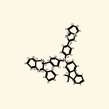 CC1(C)c2ccccc2-c2ccc(N(c3ccc(-c4cn5ccccc5n4)cc3)c3ccc(-c4nc5ccccc5nc4-c4ccccc4)cc3)cc21